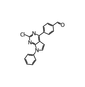 O=Cc1ccc(-c2nc(Cl)nc3c2ccn3-c2ccccc2)cc1